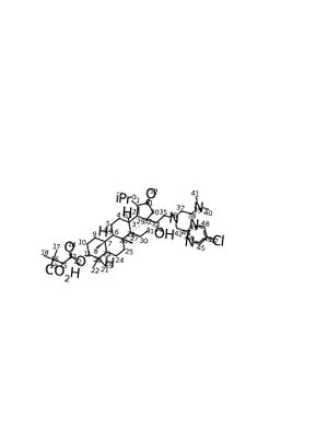 CC(C)C1=C2[C@H]3CC[C@@H]4[C@@]5(C)CCC(OC(=O)CC(C)(C)C(=O)O)C(C)(C)[C@@H]5CC[C@@]4(C)[C@]3(C)CC[C@@]2([C@@H](O)CN(CCN(C)C)Cc2ncc(Cl)cn2)CC1=O